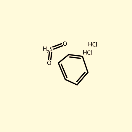 Cl.Cl.O=[SH2]=O.c1ccccc1